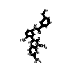 Cc1ccc(NC(=O)c2cccc(CF)c2)cc1-c1nc2cnc(N)nc2n(C)c1=O